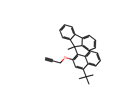 C#CCOc1cc(C(C)(C)C)c2ccccc2c1C1(C)c2ccccc2-c2ccccc21